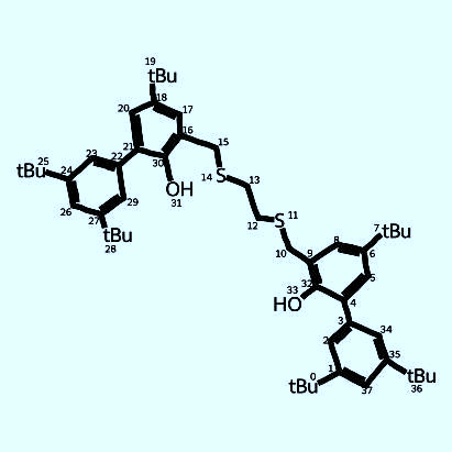 CC(C)(C)c1cc(-c2cc(C(C)(C)C)cc(CSCCSCc3cc(C(C)(C)C)cc(-c4cc(C(C)(C)C)cc(C(C)(C)C)c4)c3O)c2O)cc(C(C)(C)C)c1